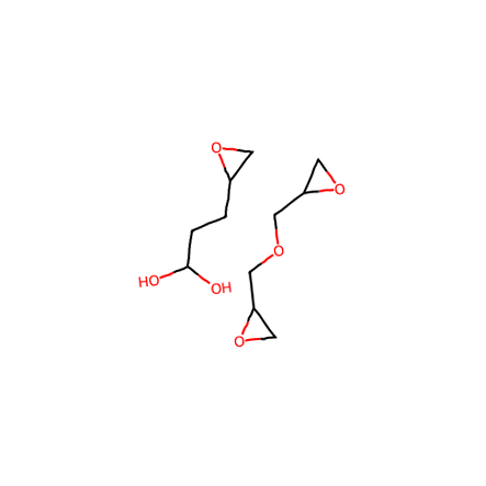 C(OCC1CO1)C1CO1.OC(O)CCC1CO1